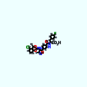 Cc1noc(-c2ccc(C(=O)N[C@H](Cc3ccc(F)cc3)C(=O)O)cc2)c1NC(=O)O[C@H](C)c1ccccc1Cl